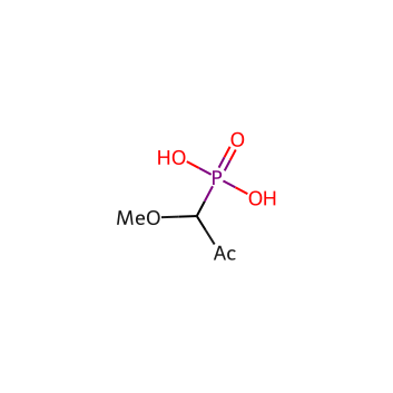 COC(C(C)=O)P(=O)(O)O